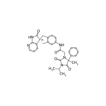 CC(C)N1C(=O)N(CC(=O)Nc2ccc3c(c2)C[C@@]2(C3)C(=O)Nc3ncccc32)C(C)(c2ccccc2)C1=O